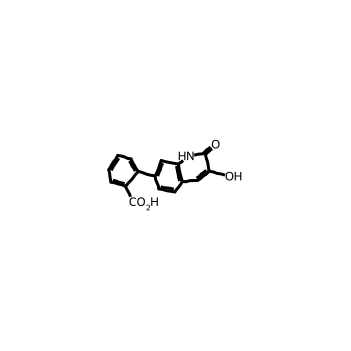 O=C(O)c1ccccc1-c1ccc2cc(O)c(=O)[nH]c2c1